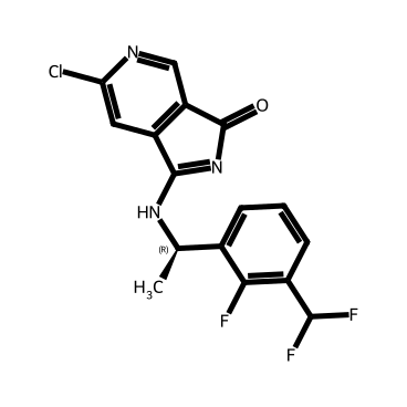 C[C@@H](NC1=NC(=O)c2cnc(Cl)cc21)c1cccc(C(F)F)c1F